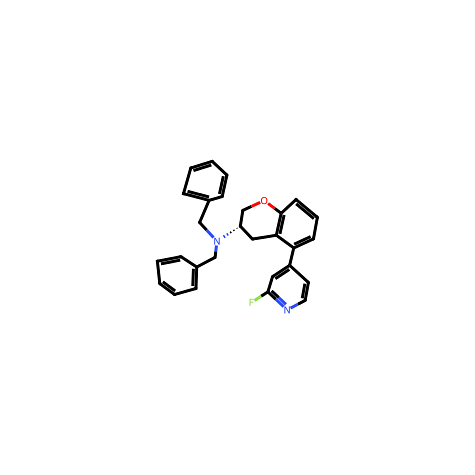 Fc1cc(-c2cccc3c2C[C@H](N(Cc2ccccc2)Cc2ccccc2)CO3)ccn1